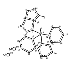 Cc1ncc2scc(P(C)(c3ccccc3)(c3ccccc3)c3ccccc3)n12.Cl.Cl